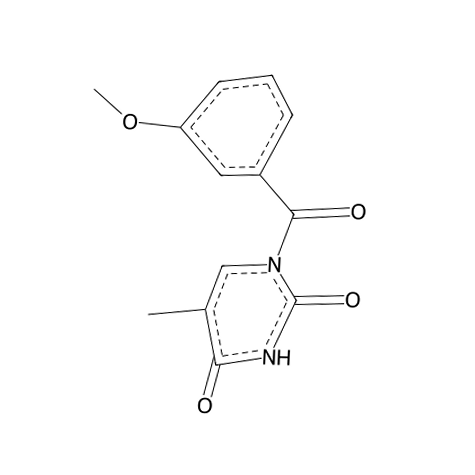 COc1cccc(C(=O)n2cc(C)c(=O)[nH]c2=O)c1